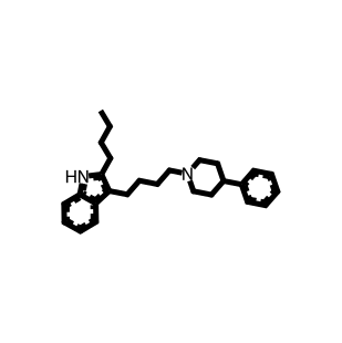 CCCCc1[nH]c2ccccc2c1CCCCN1CCC(c2ccccc2)CC1